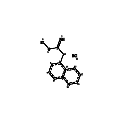 CCOC(=N)Cc1cccc2ncccc12.Cl